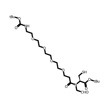 CC(C)(C)OC(=O)NCCOCCOCCOCCOCCC(=O)N(CC=O)[C@@H](CS)C(=O)OC(C)(C)C